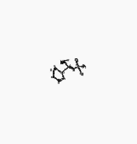 CC(C)S(=O)(=O)/C=C(\C#N)c1ccccc1